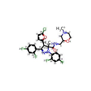 CN1CCOC(CNC(=O)C2(C)C(c3ccc(Cl)o3)C(c3ccc(F)cc3F)=NN2c2ccc(F)cc2F)C1